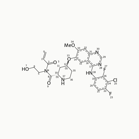 C=CC(=O)N(CCO)C(=O)[C@@H]1C[C@@H](Oc2cc3c(Nc4ccc(F)c(Cl)c4F)ncnc3cc2OC)CCN1